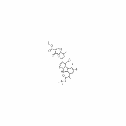 CCOC(=O)c1cnc2c(C)cc(-c3cnc4[nH]c5c(N(C)C(=O)OC(C)(C)C)cc(F)c(F)c5c4c3C3CC3)cn2c1=O